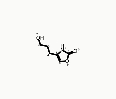 O=c1[nH]c(CCCO)co1